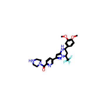 COc1ccc(C2CC(C(F)(F)F)n3nc(-c4ccc(C(=O)N5CCNCC5)nc4)cc3N2)cc1OC